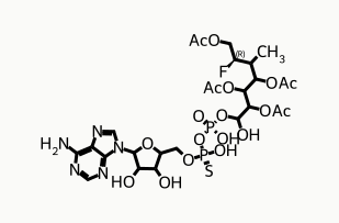 CC(=O)OC[C@H](F)C(C)C(OC(C)=O)C(OC(C)=O)C(OC(C)=O)C(O)OP(=O)(O)OP(O)(=S)OCC1OC(n2cnc3c(N)ncnc32)C(O)C1O